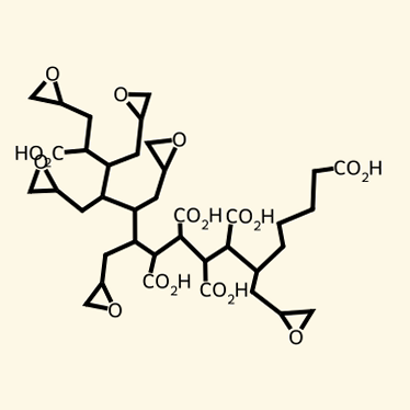 O=C(O)CCCCC(CC1CO1)C(C(=O)O)C(C(=O)O)C(C(=O)O)C(C(=O)O)C(CC1CO1)C(CC1CO1)C(CC1CO1)C(CC1CO1)C(CC1CO1)C(=O)O